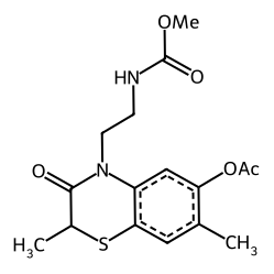 COC(=O)NCCN1C(=O)C(C)Sc2cc(C)c(OC(C)=O)cc21